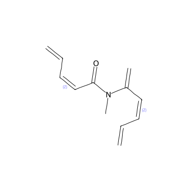 C=C/C=C\C(=C)N(C)C(=O)/C=C\C=C